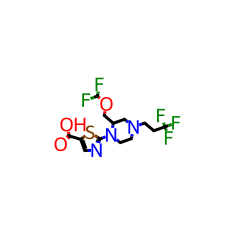 O=C(O)c1cnc(N2CCN(CCC(F)(F)F)CC2COC(F)F)s1